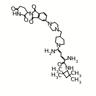 CC1(C)CC(C)(C)C1NC(=O)/C(N)=C/C=C(\N)N1CCC(CN2CCN(c3ccc4c(c3)C(=O)N(C3CCC(=O)NC3=O)C4=O)CC2)CC1